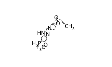 CC#CCS(=O)(=O)C[C@@H]1CCCN(Cc2nc3cc(OC(F)(F)F)c(P)cc3[nH]2)C1